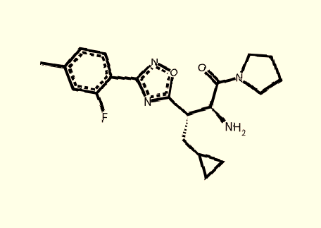 Cc1ccc(-c2noc([C@@H](CC3CC3)[C@H](N)C(=O)N3CCCC3)n2)c(F)c1